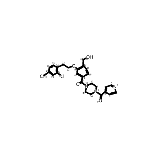 O=C(c1ccncc1)N1CCN(C(=O)c2ccc(CO)c(OCCc3ccc(Cl)cc3Cl)c2)CC1